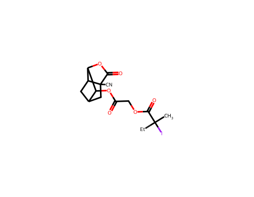 CCC(C)(I)C(=O)OCC(=O)OC1C2CC3C1OC(=O)C3(C#N)C2